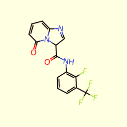 O=C(Nc1cccc(C(F)(F)F)c1F)C1C=Nc2cccc(=O)n21